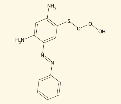 Nc1cc(N)c(SOOO)cc1N=Nc1ccccc1